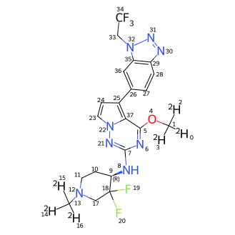 [2H]C([2H])([2H])Oc1nc(N[C@@H]2CCN(C([2H])([2H])[2H])CC2(F)F)nn2ccc(-c3ccc4nnn(CC(F)(F)F)c4c3)c12